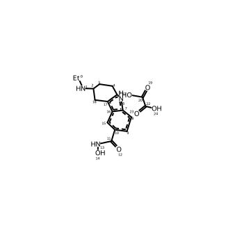 CCNC1CCc2[nH]c3ccc(C(=O)NO)cc3c2C1.O=C(O)C(=O)O